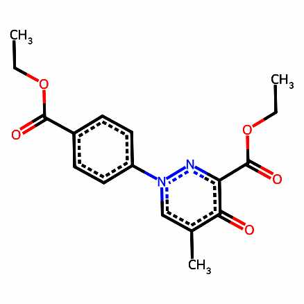 CCOC(=O)c1ccc(-n2cc(C)c(=O)c(C(=O)OCC)n2)cc1